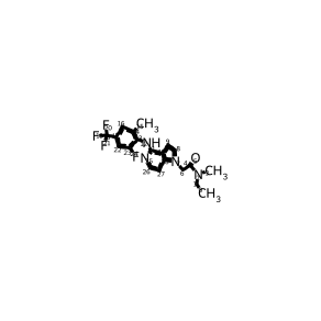 CCN(C)C(=O)Cn1ccc2c(Nc3c(C)cc(C(F)(F)F)cc3F)nccc21